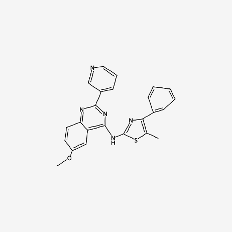 COc1ccc2nc(-c3cccnc3)nc(Nc3nc(-c4ccccc4)c(C)s3)c2c1